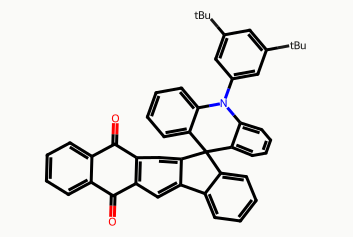 CC(C)(C)c1cc(N2c3ccccc3C3(c4ccccc4-c4cc5c(cc43)C(=O)c3ccccc3C5=O)c3ccccc32)cc(C(C)(C)C)c1